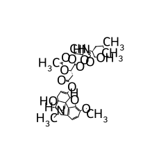 COc1ccc2c3c1O[C@H]1C(OC(=O)C[C@H](OC(C)=O)C(=O)O[C@@H](C)C(=O)N[C@@H](CC(C)C)C(=O)O)=CC[C@@]4(O)[C@@H](C2)N(C)CC[C@]314